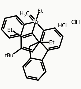 Cl.Cl.[CH2]=[Zr]([CH2]C)([C]1=C(CC)C(C(C)(C)C)=CC1CC)([c]1ccccc1)[c]1cccc2c1Cc1ccccc1-2